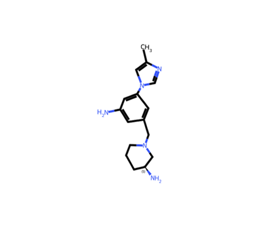 Cc1cn(-c2cc(N)cc(CN3CCC[C@H](N)C3)c2)cn1